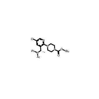 CC(=O)N(C(C)C)[C@@H](C)c1cc(Cl)cnc1N1CCN(C(=O)OC(C)(C)C)CC1